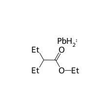 CCOC(=O)C(CC)CC.[PbH2]